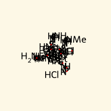 CCc1c(-c2ccc(N3C[C@H]4CC[C@H](NC)[C@H]4C3)cc2)[nH]c(=O)c(C(=O)Oc2c(CC)c(-c3ccc(N4C[C@H]5CCCC[C@]5(CN(C)C)C4)cc3)[nH]c(=O)c2C(=O)OC(=O)c2c(OC(=O)c3c(OC(=O)C(F)(F)F)c(CC)c(-c4ccc(N5C[C@H]6CC[C@H](N)[C@H]6C5)cc4)[nH]c3=O)c(CC)c(-c3ccc(N4C[C@H]5CC[C@@H](N)[C@H]5C4)cc3)[nH]c2=O)c1O.Cl.Cl.Cl